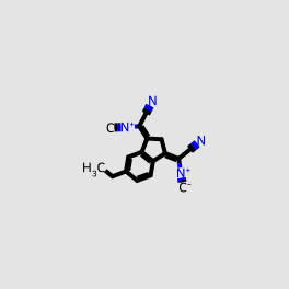 [C-]#[N+]/C(C#N)=C1/C/C(=C(\C#N)[N+]#[C-])c2cc(CC)ccc21